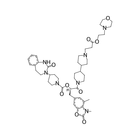 Cc1cc(C[C@@H](OC(=O)N2CCC(N3CCc4ccccc4NC3=O)CC2)C(=O)N2CCC(C3CCN(CCC(=O)OCCN4CCOCC4)CC3)CC2)cc2oc(=O)n(C)c12